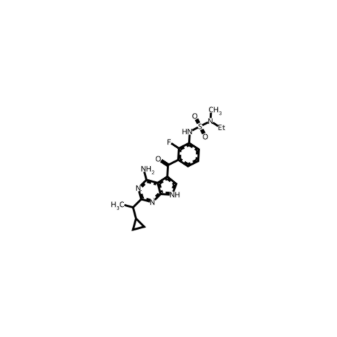 CCN(C)S(=O)(=O)Nc1cccc(C(=O)c2c[nH]c3nc(C(C)C4CC4)nc(N)c23)c1F